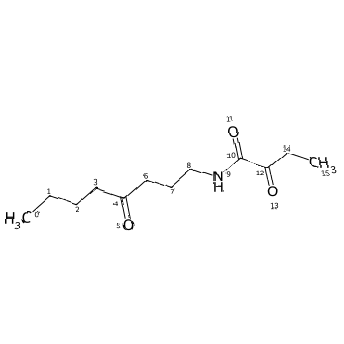 CCCCC(=O)CCCNC(=O)C(=O)CC